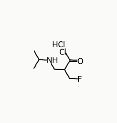 CC(C)NCC(CF)C(=O)Cl.Cl